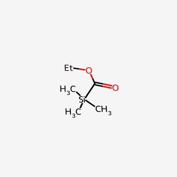 CCOC(=O)[Si](C)(C)C